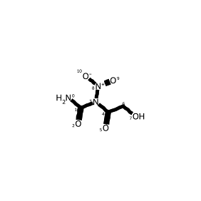 NC(=O)N(C(=O)CO)[N+](=O)[O-]